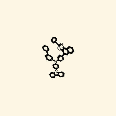 c1ccc(-c2cccc(N(c3ccc(-c4cc5ccccc5c5nc(-c6ccccc6)oc45)cc3)c3ccc(-n4c5ccccc5c5ccccc54)cc3)c2)cc1